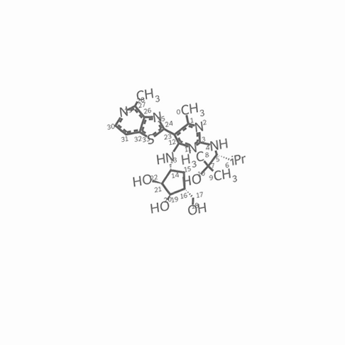 Cc1nc(N[C@H](C(C)C)C(C)(C)O)nc(N[C@@H]2C[C@H](CO)[C@@H](O)[C@H]2O)c1-c1nc2c(C)nccc2s1